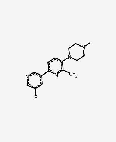 CN1CCN(c2ccc(-c3cncc(F)c3)nc2C(F)(F)F)CC1